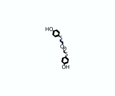 Oc1ccc(S/C=C/OOCSc2ccc(O)cc2)cc1